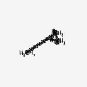 CC(C)(C)OC(=O)CCOCCOCCOCCOCCOCCOCCOCCOCCOCCOCCOCCOCCN1\C(=C/C=C/C=C/C=C/C2=[N+](CCCCS(=O)(=O)O)c3ccc4ccccc4c3C2(C)C)C(C)(C)c2c1ccc1ccccc21